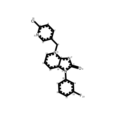 O=c1nc2n(Cc3ccc(Cl)nc3)cccc-2n1-c1cccc(F)c1